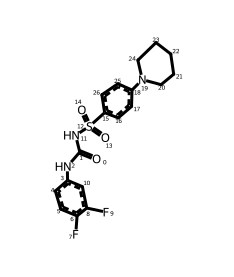 O=C(Nc1ccc(F)c(F)c1)NS(=O)(=O)c1ccc(N2CCCCC2)cc1